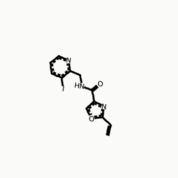 C=Cc1nc(C(=O)NCc2ncccc2I)co1